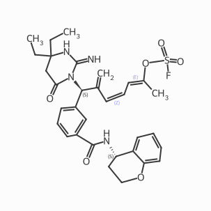 C=C(/C=C\C=C(/C)OS(=O)(=O)F)[C@@H](c1cccc(C(=O)N[C@H]2CCOc3ccccc32)c1)N1C(=N)NC(CC)(CC)CC1=O